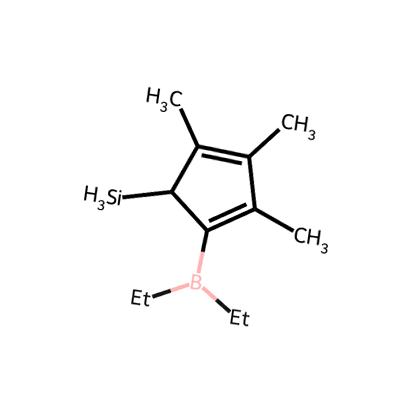 CCB(CC)C1=C(C)C(C)=C(C)C1[SiH3]